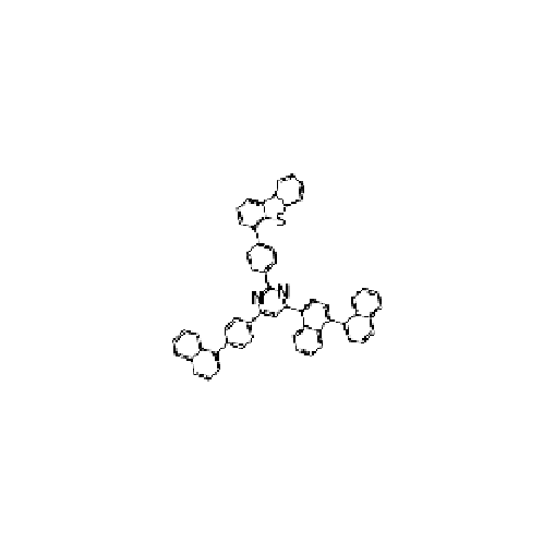 C1=CC2Sc3c(-c4ccc(-c5nc(-c6ccc(-c7cccc8ccccc78)cc6)cc(-c6ccc(-c7cccc8ccccc78)c7ccccc67)n5)cc4)cccc3C2C=C1